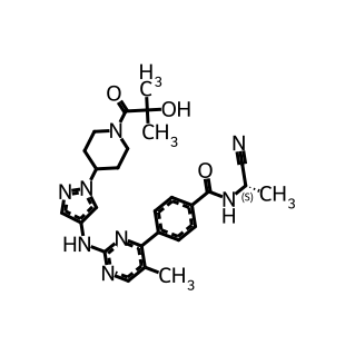 Cc1cnc(Nc2cnn(C3CCN(C(=O)C(C)(C)O)CC3)c2)nc1-c1ccc(C(=O)N[C@@H](C)C#N)cc1